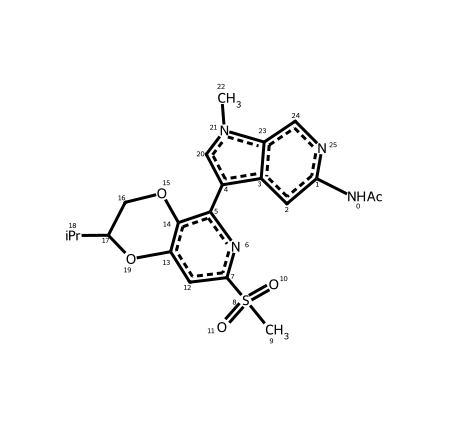 CC(=O)Nc1cc2c(-c3nc(S(C)(=O)=O)cc4c3OCC(C(C)C)O4)cn(C)c2cn1